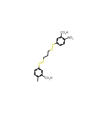 Cc1ccc(SSCCCSSc2ccc([N+](=O)[O-])c(C(=O)O)c2)cc1C(=O)O